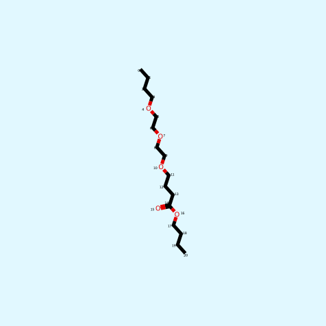 CCCCOCCOCCOCCCC(=O)OCCCC